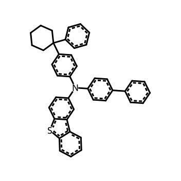 c1ccc(-c2ccc(N(c3ccc(C4(c5ccccc5)CCCCC4)cc3)c3ccc4sc5ccccc5c4c3)cc2)cc1